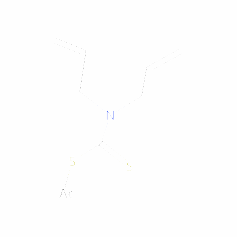 C=CCN(CC=C)C(=S)SC(C)=O